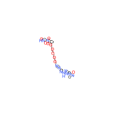 CN(C)C(=O)c1cc2cnc(Nc3ccc(N4CCN(CCOCCOCCOCCOCCOc5cccc6c5C(=O)N(C5CCC(=O)NC5=O)C6=O)CC4)cn3)nc2n1C1CCCC1